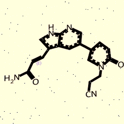 N#CCCn1cc(-c2cnc3[nH]cc(/C=C/C(N)=O)c3c2)ccc1=O